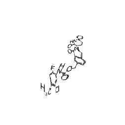 Cc1cc(F)c(NC(=O)OCc2ccc3c(c2)C(=O)N(C2CCC(=O)NC2=O)C3)cc1Cl